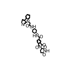 O=C(Cn1c2ccccc2c2ccncc21)NC[C@H]1CC[C@H](CNC(=O)c2ccc3c(c2)C(=O)N(C2CCC(=O)NC2=O)C3=O)CC1